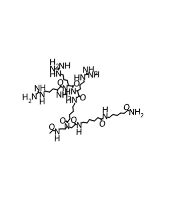 CC(=O)NCCN(CC(=O)NCCCCCC(=O)NCCCCCC(N)=O)C(=O)CCCCCNC(=O)C(CCCNC(=N)N)NC(=O)C(CCCNC(=N)N)NC(=O)C(N)CCCNC(=N)N